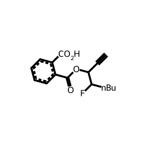 C#CC(OC(=O)c1ccccc1C(=O)O)C(F)CCCC